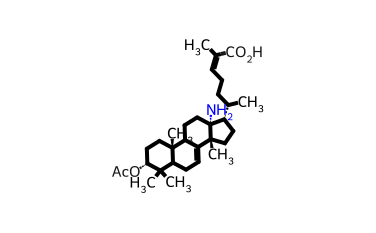 CC(=O)O[C@@H]1CC[C@]2(C)C3CC[C@@]4(N)[C@H](C(C)CC/C=C(/C)C(=O)O)CC[C@]4(C)C3=CCC2C1(C)C